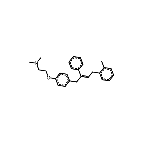 Cc1ccccc1C/C=C(/Cc1ccc(OCCN(C)C)cc1)c1ccccc1